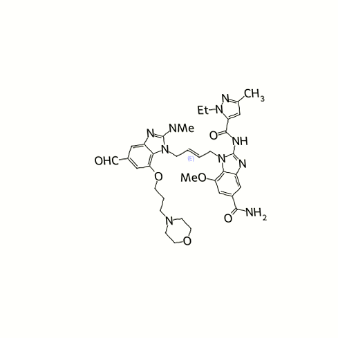 CCn1nc(C)cc1C(=O)Nc1nc2cc(C(N)=O)cc(OC)c2n1C/C=C/Cn1c(NC)nc2cc(C=O)cc(OCCCN3CCOCC3)c21